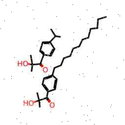 CC(C)c1ccc(C(=O)C(C)(C)O)cc1.CCCCCCCCCCCCc1ccc(C(=O)C(C)(C)O)cc1